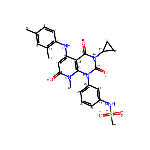 Cc1ccc(Nc2cc(=O)n(C)c3c2c(=O)n(C2CC2)c(=O)n3-c2cccc(NS(C)(=O)=O)c2)c(C)c1